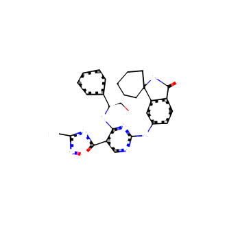 Cc1noc(-c2cnc(Nc3ccc4c(c3)C3(CCCCC3)NC4=O)nc2N[C@H](CO)c2ccccc2)n1